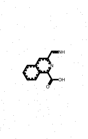 N=Cc1cc2ccccc2c(C(=O)O)n1